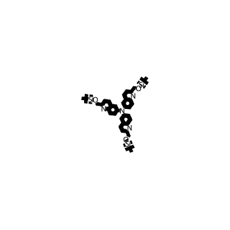 CC(C)(C)[Si](C)(C)OCc1ccc2cc(N(c3ccc4nc(CO[Si](C)(C)C(C)(C)C)ccc4c3)c3ccc4nc(CO[Si](C)(C)C(C)(C)C)ccc4c3)ccc2n1